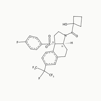 O=C(N1CC[C@]2(S(=O)(=O)c3ccc(F)cc3)c3ccc(C(F)(C(F)(F)F)C(F)(F)F)cc3CC[C@H]12)C1(O)CCC1